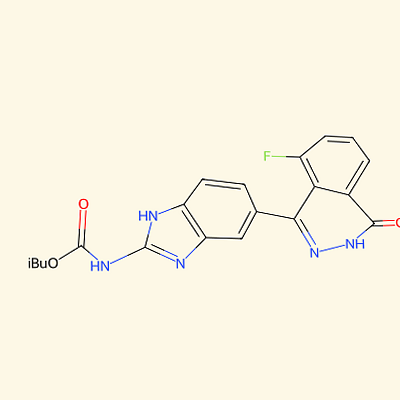 CC(C)COC(=O)Nc1nc2cc(-c3n[nH]c(=O)c4cccc(F)c34)ccc2[nH]1